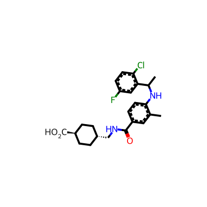 Cc1cc(C(=O)NC[C@H]2CC[C@H](C(=O)O)CC2)ccc1NC(C)c1cc(F)ccc1Cl